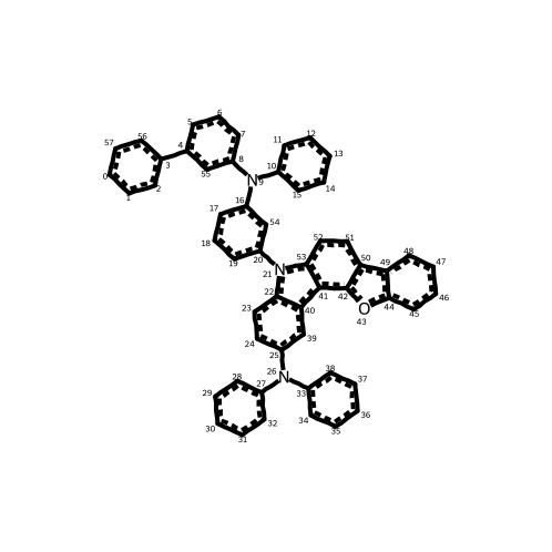 c1ccc(-c2cccc(N(c3ccccc3)c3cccc(-n4c5ccc(N(c6ccccc6)c6ccccc6)cc5c5c6oc7ccccc7c6ccc54)c3)c2)cc1